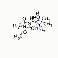 CCOC1C(O)N(C(=N)/C=C(\O)C(C)(C)C)C(=O)N1C